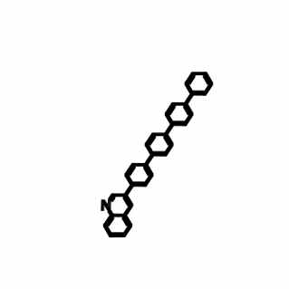 c1ccc(-c2ccc(-c3ccc(-c4ccc(-c5cnc6ccccc6c5)cc4)cc3)cc2)cc1